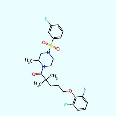 CC1CN(S(=O)(=O)c2cccc(F)c2)CCN1C(=O)C(C)(C)CCCOc1c(F)cccc1F